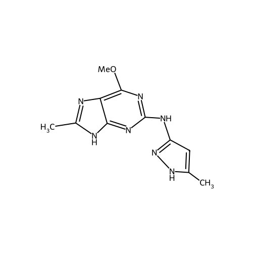 COc1nc(Nc2cc(C)[nH]n2)nc2[nH]c(C)nc12